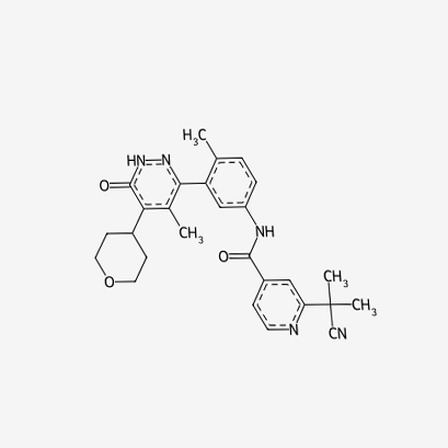 Cc1ccc(NC(=O)c2ccnc(C(C)(C)C#N)c2)cc1-c1n[nH]c(=O)c(C2CCOCC2)c1C